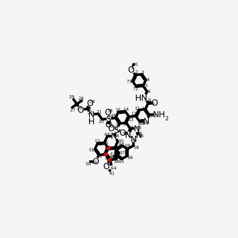 COc1ccc(CNC(=O)c2cc(-c3ccc(S(=O)(=O)CCNC(=O)OC(C)(C)C)c(S(=O)(=O)N(Cc4ccc(OC)cc4)Cc4ccc(OC)cc4)c3-c3nnn(Cc4ccc(OC)cc4)n3)cnc2N)cc1